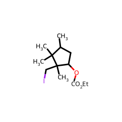 CCOC(=O)OC1CC(C)C(C)(C)C1(C)CI